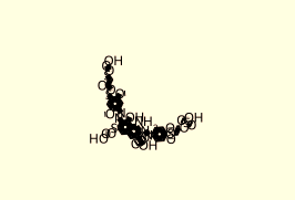 COc1cc(SOC(=O)CSOOO)c(OC)cc1N=Nc1c(SOOO)cc2cc(S(=O)(=O)O)c(N=Nc3ccc(S(=O)(=O)CCOS(=O)(=O)O)cc3)c(N)c2c1O